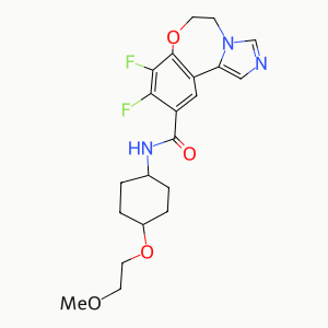 COCCOC1CCC(NC(=O)c2cc3c(c(F)c2F)OCCn2cncc2-3)CC1